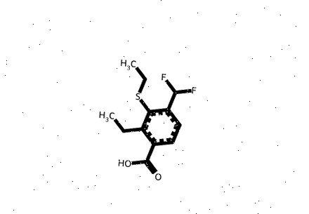 CCSc1c(C(F)F)ccc(C(=O)O)c1CC